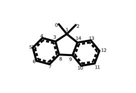 CC1(C)c2[c][c]ccc2-c2ccccc21